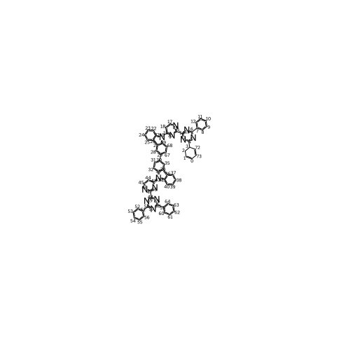 C1=CCC(c2nc(-c3ccccc3)nc(-c3nccc(-n4c5ccccc5c5cc(-c6ccc7c(c6)c6ccccc6n7-c6ccnc(-c7nc(-c8ccccc8)nc(-c8ccccc8)n7)n6)ccc54)n3)n2)C=C1